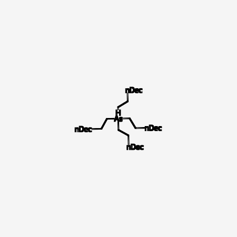 CCCCCCCCCCCC[AsH](CCCCCCCCCCCC)(CCCCCCCCCCCC)CCCCCCCCCCCC